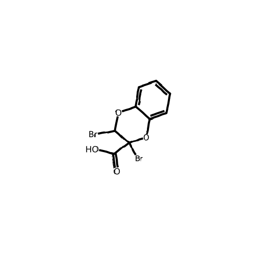 O=C(O)C1(Br)Oc2ccccc2OC1Br